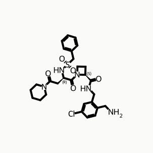 NCc1ccc(Cl)cc1CNC(=O)[C@@H]1CCN1C(=O)[C@@H](CC(=O)N1CCCCC1)NS(=O)(=O)Cc1ccccc1